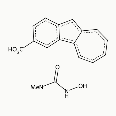 CNC(=O)NO.O=C(O)c1ccc2cc3cccccc-3c2c1